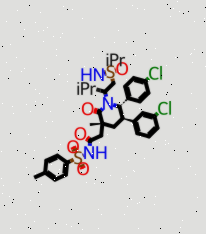 Cc1ccc(S(=O)(=O)NC(=O)C[C@@]2(C)C[C@H](c3cccc(Cl)c3)[C@@H](c3ccc(Cl)cc3)N(C(CS(=N)(=O)C(C)C)C(C)C)C2=O)cc1